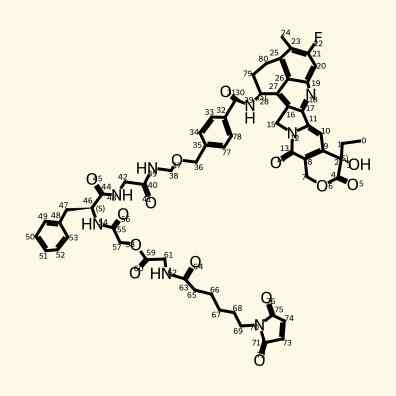 CC[C@@]1(O)C(=O)OCc2c1cc1n(c2=O)Cc2c-1nc1cc(F)c(C)c3c1c2[C@@H](NC(=O)c1ccc(COCNC(=O)CNC(=O)[C@H](Cc2ccccc2)NC(=O)COC(=O)CNC(=O)CCCCCN2C(=O)C=CC2=O)cc1)CC3